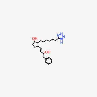 OC(C=CC1CCC(O)C1CCCCCCc1nnn[nH]1)Cc1ccccc1